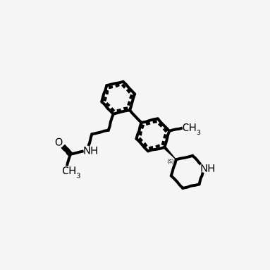 CC(=O)NCCc1ccccc1-c1ccc([C@@H]2CCCNC2)c(C)c1